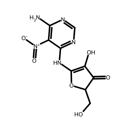 Nc1ncnc(NC2=C(O)C(=O)C(CO)O2)c1[N+](=O)[O-]